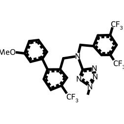 COc1cccc(-c2ccc(C(F)(F)F)cc2CN(Cc2cc(C(F)(F)F)cc(C(F)(F)F)c2)c2nnn(C)n2)c1